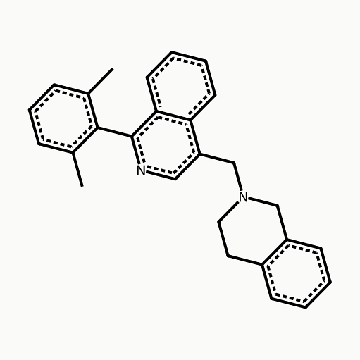 Cc1cccc(C)c1-c1ncc(CN2CCc3ccccc3C2)c2ccccc12